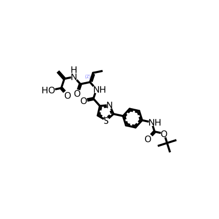 C=C(NC(=O)/C(=C/C)NC(=O)c1csc(-c2ccc(NC(=O)OC(C)(C)C)cc2)n1)C(=O)O